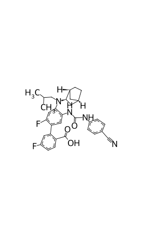 CC(C)CN(c1cc(F)c(-c2cc(F)ccc2C(=O)O)cc1NC(=O)Nc1ccc(C#N)cc1)[C@@H]1C[C@H]2CC[C@@H]1C2